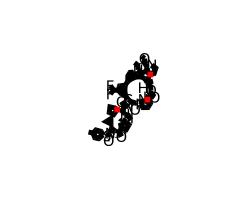 CCn1c(-c2cccnc2[C@H](C)OC)c2c3cc(ccc31)-c1cc(cc(C(F)F)c1)C[C@H](NC(=O)[C@H](C1CCCC1)N1CC[C@]3(CCN(C(=O)[C@H]4[C@@H](C5CC5)N4[S@+]([O-])c4ccc(C)cc4)C3)C1)C(=O)N1CCC[C@H](N1)C(=O)OCC(C)(C)C2